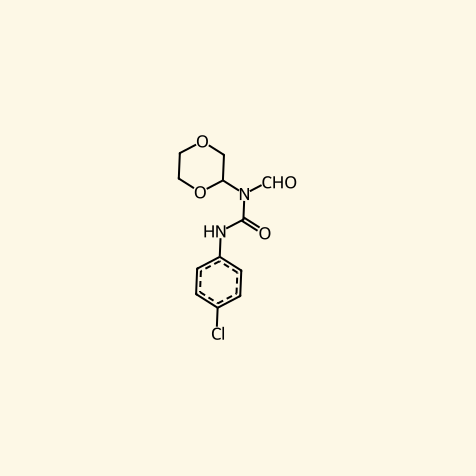 O=CN(C(=O)Nc1ccc(Cl)cc1)C1COCCO1